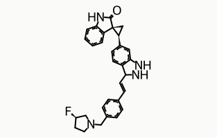 O=C1Nc2ccccc2[C@]12C[C@H]2c1ccc2c(c1)NNC2/C=C/c1ccc(CN2CC[C@@H](F)C2)cc1